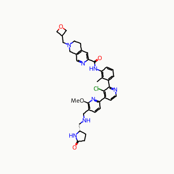 COc1nc(-c2ccnc(-c3cccc(NC(=O)c4cc5c(cn4)CN(CC4COC4)CC5)c3C)c2Cl)ccc1CNC[C@@H]1CCC(=O)N1